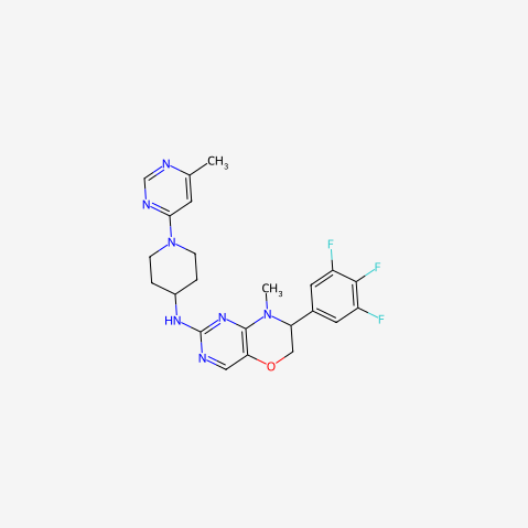 Cc1cc(N2CCC(Nc3ncc4c(n3)N(C)C(c3cc(F)c(F)c(F)c3)CO4)CC2)ncn1